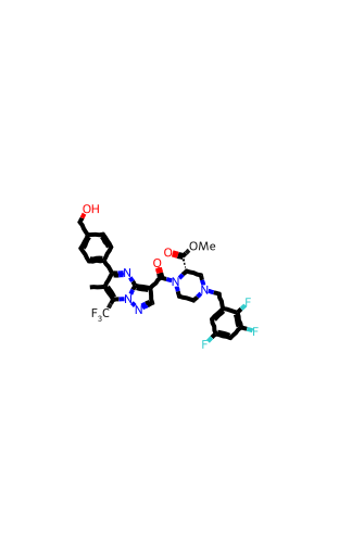 COC(=O)[C@@H]1CN(Cc2cc(F)cc(F)c2F)CCN1C(=O)c1cnn2c(C(F)(F)F)c(C)c(-c3ccc(CO)cc3)nc12